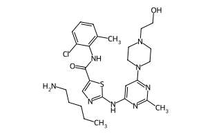 CCCCCN.Cc1nc(Nc2ncc(C(=O)Nc3c(C)cccc3Cl)s2)cc(N2CCN(CCO)CC2)n1